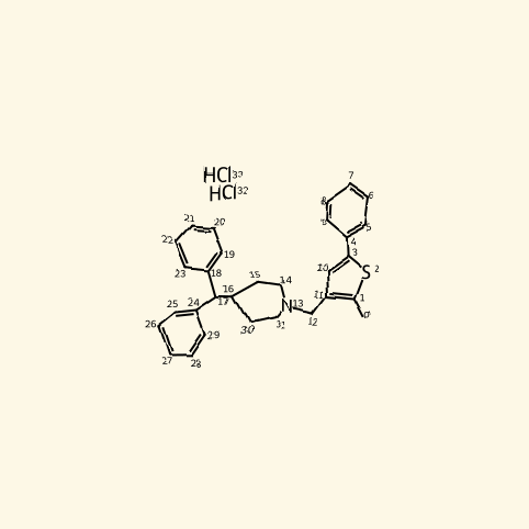 Cc1sc(-c2ccccc2)cc1CN1CCC(C(c2ccccc2)c2ccccc2)CC1.Cl.Cl